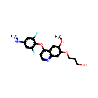 CNc1cc(F)c(Oc2ccnc3cc(OCCCO)c(OC)cc23)c(F)c1